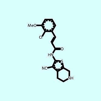 COc1cccc(C=CC(=O)Nc2sc3c(c2C#N)CCNC3)c1Cl